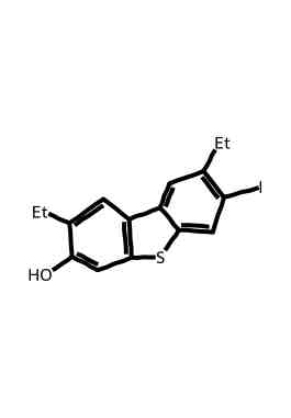 CCc1cc2c(cc1O)sc1cc(I)c(CC)cc12